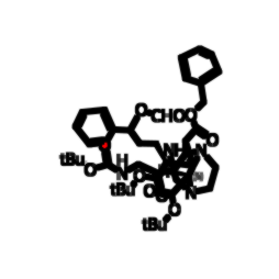 CC(C)(C)OC(=O)NCCC1(N)CN2CCN(C1)C(CC(=O)OCc1ccccc1)([C@H](CCC(OC=O)c1ccccc1)C(=O)OC(C)(C)C)[C@H]2C(=O)OC(C)(C)C